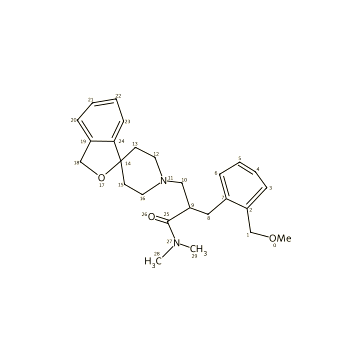 COCc1ccccc1CC(CN1CCC2(CC1)OCc1ccccc12)C(=O)N(C)C